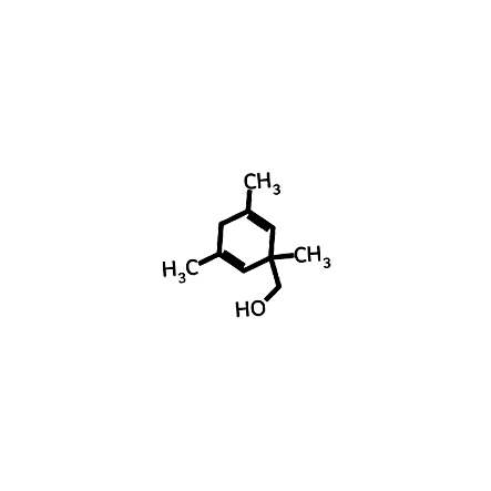 CC1=CC(C)(CO)C=C(C)C1